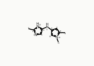 Cc1ncc(Nc2cc(C)n(C)c2)[nH]1